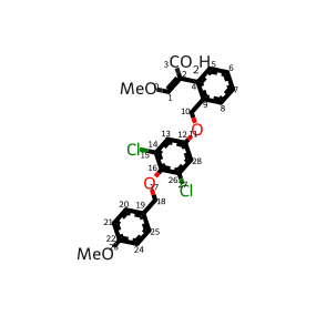 COC=C(C(=O)O)c1ccccc1COc1cc(Cl)c(OCc2ccc(OC)cc2)c(Cl)c1